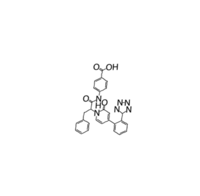 O=C(O)c1ccc(NC(=O)C(Cc2ccccc2)n2ccc(-c3ccccc3C3N=NN=N3)cc2=O)cc1